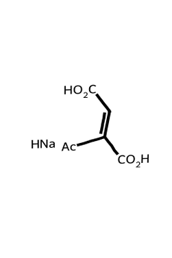 CC(=O)/C(=C\C(=O)O)C(=O)O.[NaH]